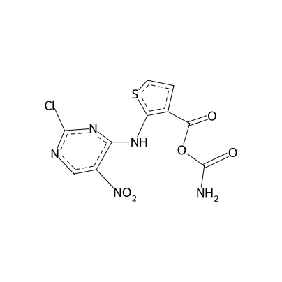 NC(=O)OC(=O)c1ccsc1Nc1nc(Cl)ncc1[N+](=O)[O-]